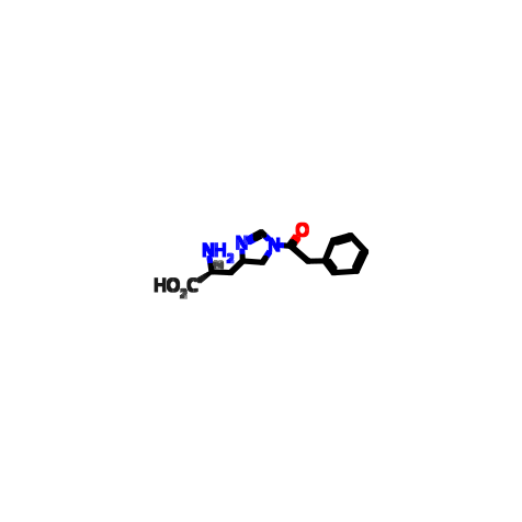 N[C@@H](CC1CN(C(=O)Cc2ccccc2)C=N1)C(=O)O